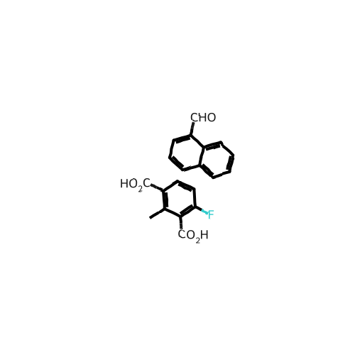 Cc1c(C(=O)O)ccc(F)c1C(=O)O.O=Cc1cccc2ccccc12